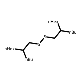 CCCCCCC(CCCC)CSSCC(CCCC)CCCCCC